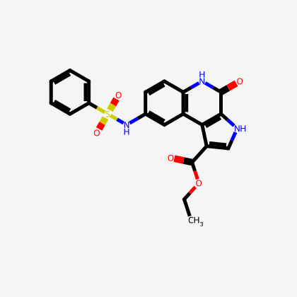 CCOC(=O)c1c[nH]c2c(=O)[nH]c3ccc(NS(=O)(=O)c4ccccc4)cc3c12